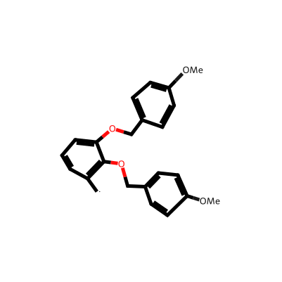 [CH2]c1cccc(OCc2ccc(OC)cc2)c1OCc1ccc(OC)cc1